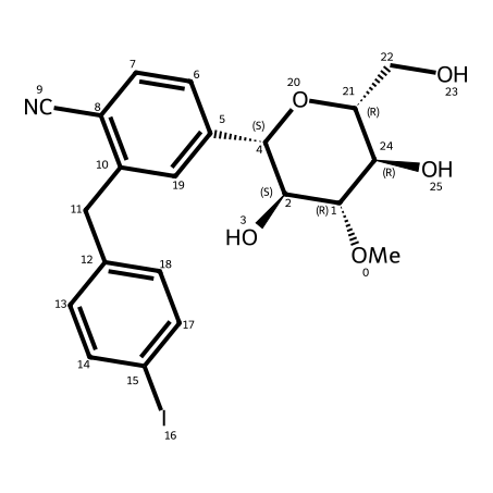 CO[C@@H]1[C@@H](O)[C@H](c2ccc(C#N)c(Cc3ccc(I)cc3)c2)O[C@H](CO)[C@H]1O